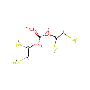 O=C(OC(S)CS)OC(S)CS